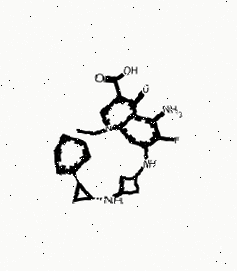 CCn1cc(C(=O)O)c(=O)c2c(N)c(F)c(NC3CC(N[C@@H]4C[C@H]4c4ccccc4)C3)cc21